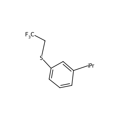 CC(C)c1cccc(SCC(F)(F)F)c1